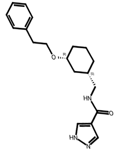 O=C(NC[C@H]1CCC[C@@H](OCCc2ccccc2)C1)c1cn[nH]c1